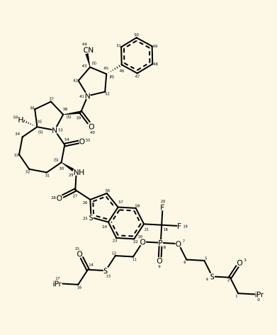 CC(C)CC(=O)SCCOP(=O)(OCCSC(=O)CC(C)C)C(F)(F)c1ccc2sc(C(=O)N[C@H]3CCCC[C@H]4CC[C@@H](C(=O)N5C[C@@H](C#N)[C@H](c6ccccc6)C5)N4C3=O)cc2c1